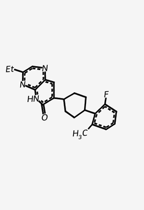 CCc1cnc2cc(C3CCC(c4c(C)cccc4F)CC3)c(=O)[nH]c2n1